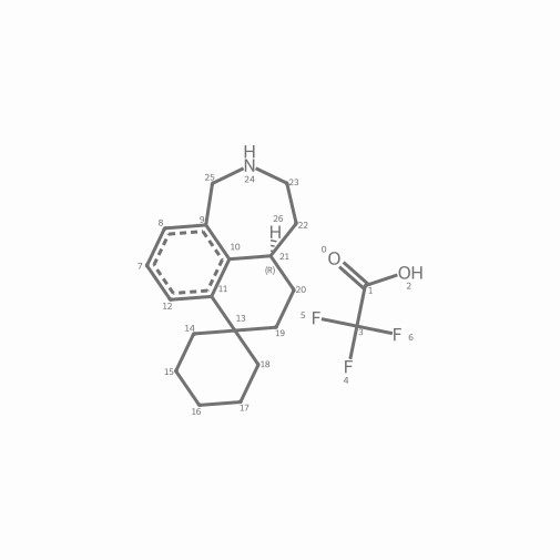 O=C(O)C(F)(F)F.c1cc2c3c(c1)C1(CCCCC1)CC[C@@H]3CCNC2